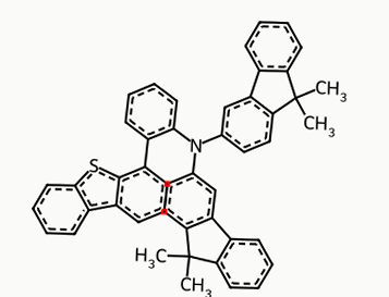 CC1(C)c2ccccc2-c2cc(N(c3ccc4c(c3)-c3ccccc3C4(C)C)c3ccccc3-c3cccc4c3sc3ccccc34)ccc21